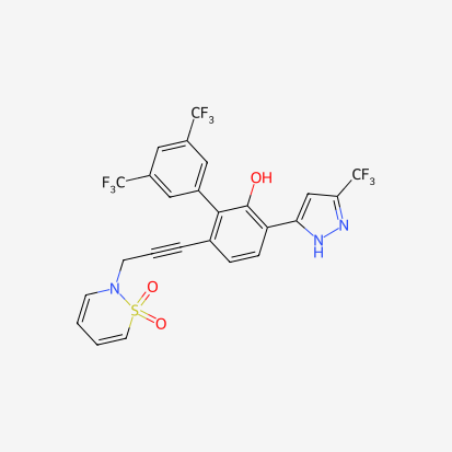 O=S1(=O)C=CC=CN1CC#Cc1ccc(-c2cc(C(F)(F)F)n[nH]2)c(O)c1-c1cc(C(F)(F)F)cc(C(F)(F)F)c1